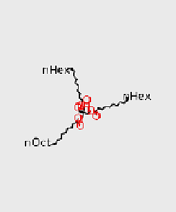 CCCCCC/C=C\CCCCCCCC(=O)OCC(CO)(COC(=O)CCCCCCC/C=C\CCCCCC)COC(=O)CCCCCCC/C=C\CCCCCCCC